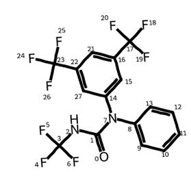 O=C(NC(F)(F)F)N(c1ccccc1)c1cc(C(F)(F)F)cc(C(F)(F)F)c1